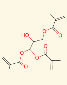 C=C(C)C(=O)OCC(O)C(OC(=O)C(=C)C)OC(=O)C(=C)C